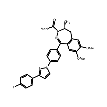 CNC(=O)N1N=C(c2ccc(-n3ccc(-c4ccc(F)cc4)n3)cc2)c2cc(OC)c(OC)cc2C[C@@H]1C